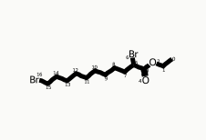 CCOC(=O)C(Br)CCCCCCCCCBr